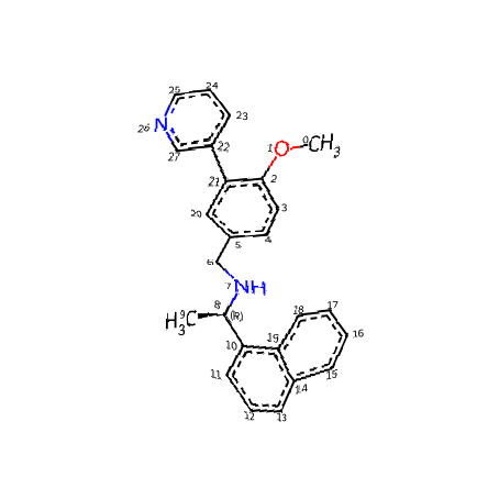 COc1ccc(CN[C@H](C)c2cccc3ccccc23)cc1-c1cccnc1